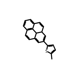 Cc1ccc(C2=CC3C=Cc4cccc5c4C3C(=C2)C=C5)s1